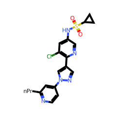 CCCc1cc(-n2cc(-c3ncc(NS(=O)(=O)C4CC4)cc3Cl)cn2)ccn1